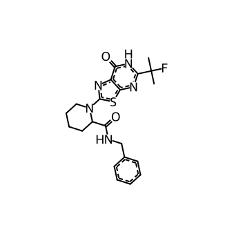 CC(C)(F)c1nc2sc(N3CCCCC3C(=O)NCc3ccccc3)nc2c(=O)[nH]1